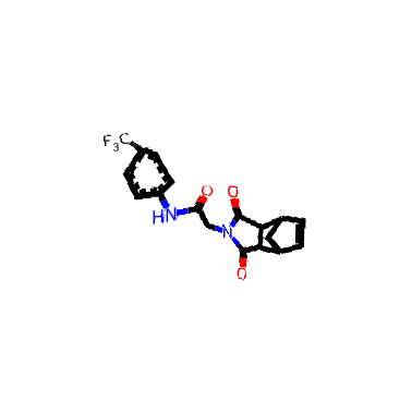 O=C(CN1C(=O)C2C3C=CC(C3)C2C1=O)Nc1ccc(C(F)(F)F)cc1